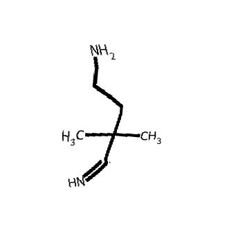 CC(C)([C]=N)CCN